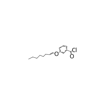 CCCCCCC=COc1cccc(C(=O)Cl)c1